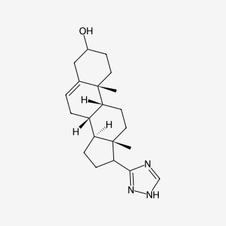 C[C@]12CCC(O)CC1=CC[C@@H]1[C@H]2CC[C@]2(C)C(c3nc[nH]n3)CC[C@@H]12